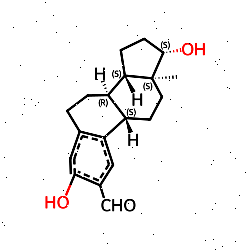 C[C@]12CC[C@@H]3c4cc(C=O)c(O)cc4CC[C@H]3[C@@H]1CC[C@@H]2O